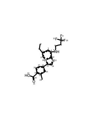 CCc1cc(NCCC(F)(F)F)c2ncc(-c3ccc(C(=O)O)c(C)c3)n2c1